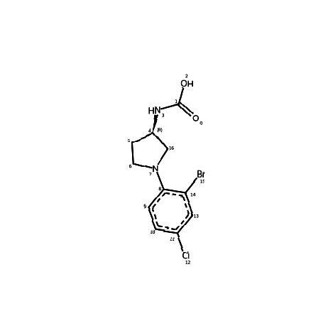 O=C(O)N[C@@H]1CCN(c2ccc(Cl)cc2Br)C1